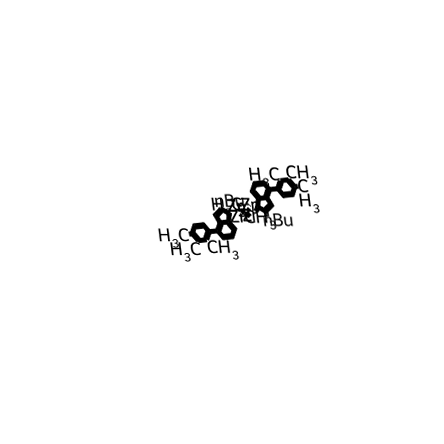 CCCCC1=Cc2c(-c3ccc(C)c(C)c3C)cccc2[C]1([Zr])[Zr][Si](C)(C)[Zr][C]1([Zr])C(CCCC)=Cc2c(-c3ccc(C)c(C)c3C)cccc21